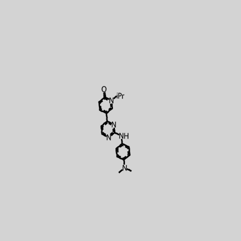 CC(C)n1cc(-c2ccnc(Nc3ccc(N(C)C)cc3)n2)ccc1=O